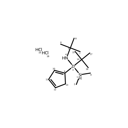 C[SiH](C)[Zr]([NH]C(C)(C)C)([C]1=CC=CC1)[C](C)(C)C.Cl.Cl